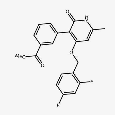 COC(=O)c1cccc(-c2c(OCc3ccc(F)cc3F)cc(C)[nH]c2=O)c1